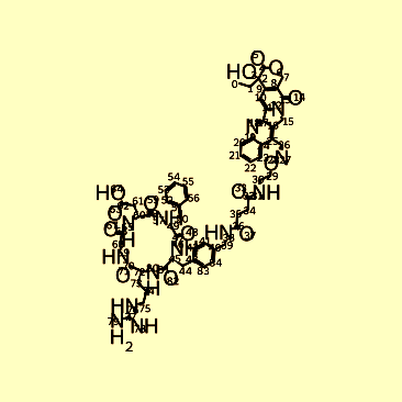 CC[C@@]1(O)C(=O)OCc2c1cc1n(c2=O)Cc2c-1nc1ccccc1c2/C=N\OCCNC(=O)CCC(=O)NCc1ccc(C[C@@H]2NC(=O)[C@@H](Cc3ccccc3)NC(=O)[C@H](CC(=O)O)NC(=O)CNC(=O)[C@H](CCCNC(=N)N)NC2=O)cc1